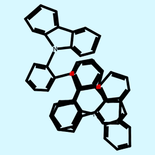 c1ccc(-c2ccccc2-c2ccccc2-n2c3ccccc3c3ccccc32)c(-c2ccccc2-c2ccccc2-c2ccccc2-n2c3ccccc3c3ccccc32)c1